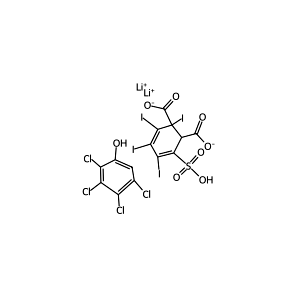 O=C([O-])C1C(S(=O)(=O)O)=C(I)C(I)=C(I)C1(I)C(=O)[O-].Oc1cc(Cl)c(Cl)c(Cl)c1Cl.[Li+].[Li+]